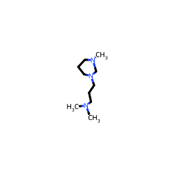 CN(C)CCCN1CCCN(C)C1